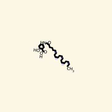 CC/C=C\C/C=C\C/C=C\C/C=C\C/C=C\CCCC1OC1Nc1ccc(O)c(C(=O)O)c1